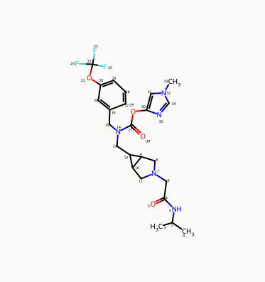 CC(C)NC(=O)CN1CC2C(C1)C2CN(Cc1cccc(OC(F)(F)F)c1)C(=O)Oc1cn(C)cn1